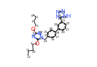 CCCCOc1nc(OCCCC)n(Cc2ccc(-c3cccc(-c4nnn[nH]4)c3)cc2)n1